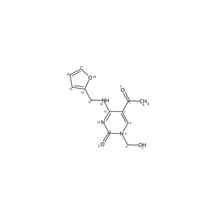 CC(=O)c1cn(CO)c(=O)nc1NCc1ccco1